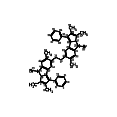 CC1=C(C)C2C(=C1c1ccccc1)c1cc(CCc3cc4c(cc3C)N(Br)C3C(C)=C(C)C(c5ccccc5)=C43)c(C)cc1N2Br